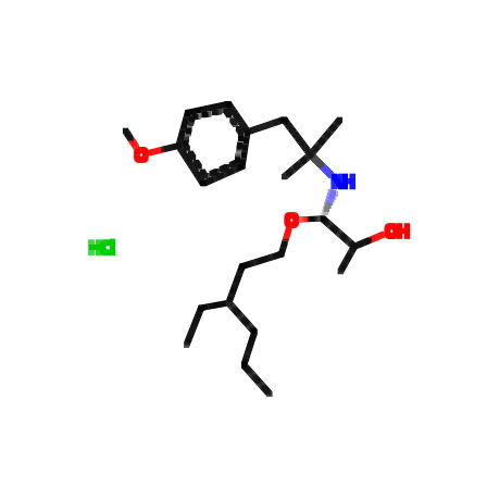 CCCC(CC)CCO[C@H](NC(C)(C)Cc1ccc(OC)cc1)C(C)O.Cl